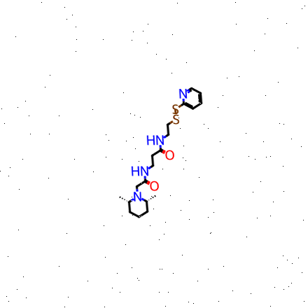 C[C@@H]1CCC[C@H](C)N1CC(=O)NCCC(=O)NCCSSc1ccccn1